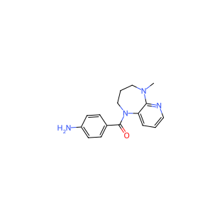 CN1CCCN(C(=O)c2ccc(N)cc2)c2cccnc21